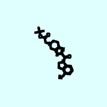 CC(C)(C)OC(=O)CN1CCc2nc(C(=O)N3CCc4c(Br)cccc43)sc2C1